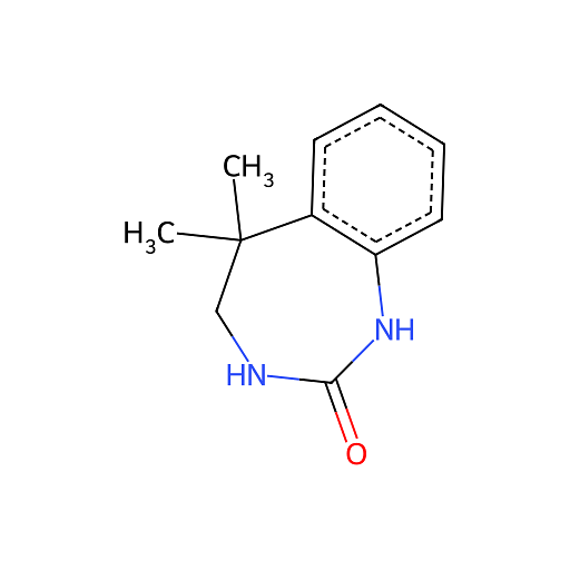 CC1(C)CNC(=O)Nc2ccccc21